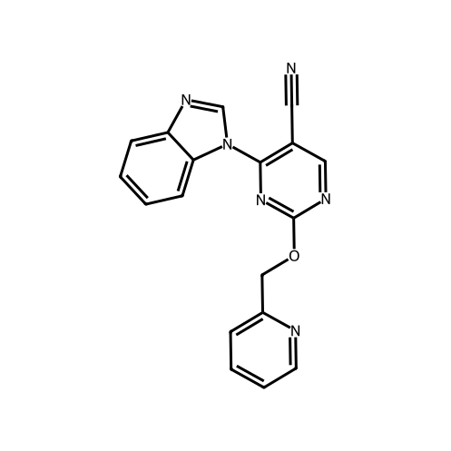 N#Cc1cnc(OCc2ccccn2)nc1-n1cnc2ccccc21